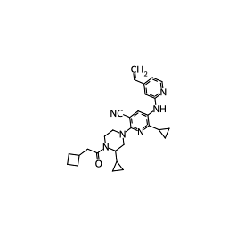 C=Cc1ccnc(Nc2cc(C#N)c(N3CCN(C(=O)CC4CCC4)C(C4CC4)C3)nc2C2CC2)c1